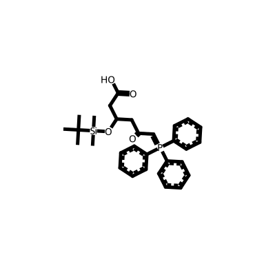 CC(C)(C)[Si](C)(C)OC(CC(=O)O)CC(=O)C=P(c1ccccc1)(c1ccccc1)c1ccccc1